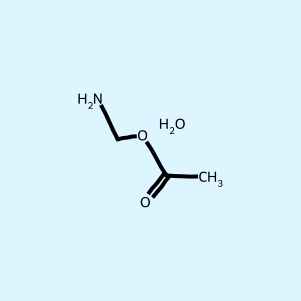 CC(=O)OCN.O